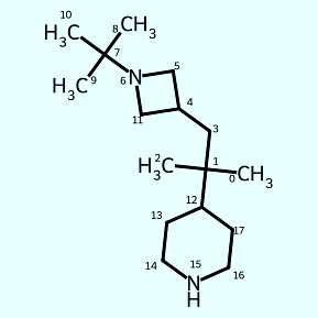 CC(C)(CC1CN(C(C)(C)C)C1)C1CCNCC1